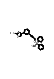 CC(C)(C)[Si](OCC#Cc1cccc(-c2csc(N)n2)c1)(c1ccccc1)c1ccccc1